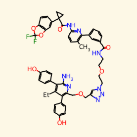 CCc1c(-c2ccc(O)cc2)c(N)nc(COCc2cn(CCOCCNC(=O)c3cccc(-c4nc(NC(=O)C5(c6ccc7c(c6)OC(F)(F)O7)CC5)ccc4C)c3)nn2)c1-c1ccc(O)cc1